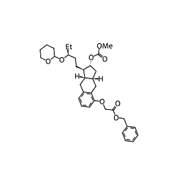 CC[C@@H](CC[C@@H]1[C@H]2Cc3cccc(OCC(=O)OCc4ccccc4)c3C[C@H]2C[C@H]1OC(=O)OC)OC1CCCCO1